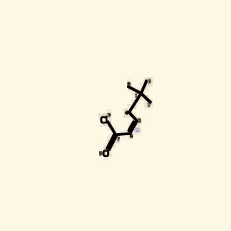 CC(C)(C)C/C=C\C(=O)Cl